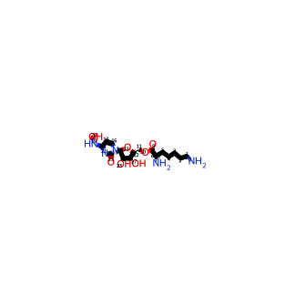 NCCCCC[C@@H](N)C(=O)OC[C@H]1O[C@@H](n2ccc(NO)nc2=O)[C@H](O)[C@@H]1O